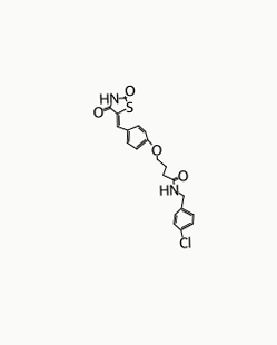 O=C(CCCOc1ccc(/C=C2\SC(=O)NC2=O)cc1)NCc1ccc(Cl)cc1